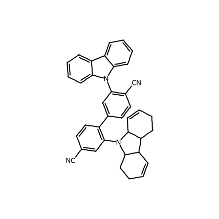 N#Cc1ccc(-c2ccc(C#N)c(-n3c4ccccc4c4ccccc43)c2)c(N2C3C=CCCC3C3C=CCCC32)c1